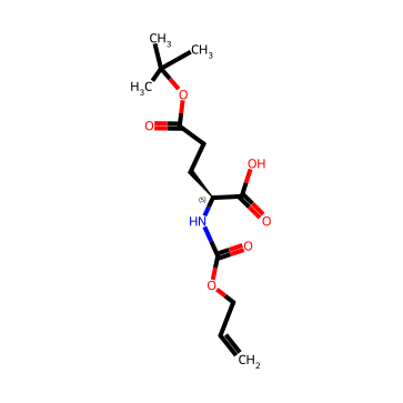 C=CCOC(=O)N[C@@H](CCC(=O)OC(C)(C)C)C(=O)O